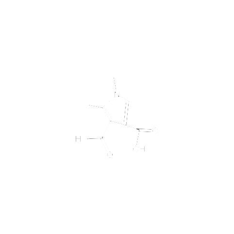 Cc1c(C(=O)O)c(C(=O)O)cn1C